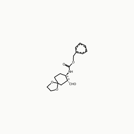 O=C[C@@H]1CC2(CC[C@H]1NC(=O)OCc1ccccc1)OCCO2